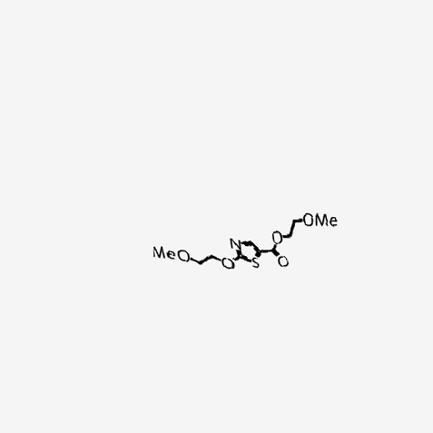 COCCOC(=O)c1cnc(OCCOC)s1